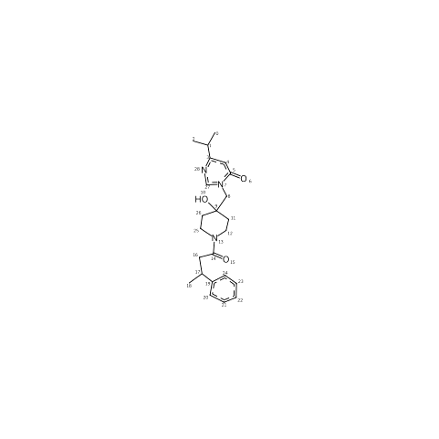 CC(C)c1cc(=O)n(CC2(O)CCN(C(=O)CC(C)c3ccccc3)CC2)cn1